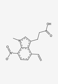 C=Cc1ccc([N+](=O)[O-])c2c1c(CCC(=O)O)cn2C